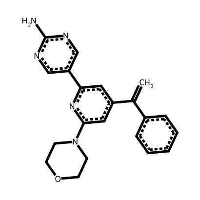 C=C(c1ccccc1)c1cc(-c2cnc(N)nc2)nc(N2CCOCC2)c1